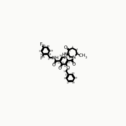 C[C@@H]1CCC(=O)[C@H]2CN1C(=O)c1c(OCc3ccccc3)c(=O)c(C(=O)NCc3ccc(F)cc3F)cn12